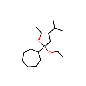 CCO[Si](CCC(C)C)(OCC)C1CCCCCC1